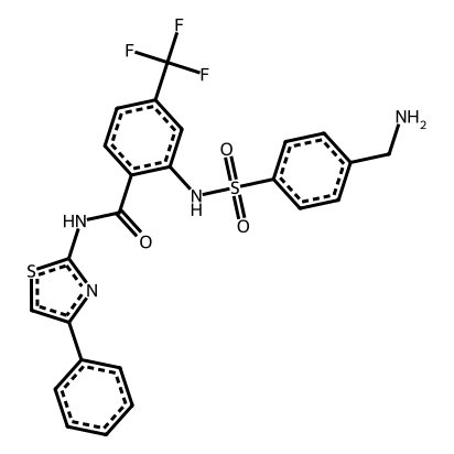 NCc1ccc(S(=O)(=O)Nc2cc(C(F)(F)F)ccc2C(=O)Nc2nc(-c3ccccc3)cs2)cc1